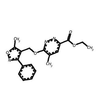 CCOC(=O)c1cc(C)c(OCc2c(-c3ccccc3)noc2C)nn1